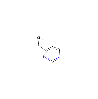 CCc1c[c]ncn1